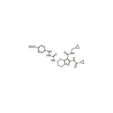 COc1ccc(NNC(=S)N[C@H]2CCc3sc(NC(=O)C4CC4)c(C(=O)NCC4CC4)c3C2)cn1